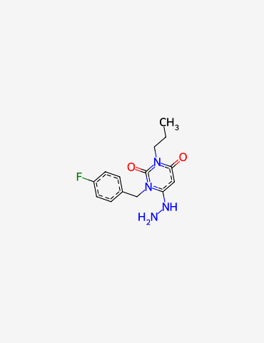 CCCn1c(=O)cc(NN)n(Cc2ccc(F)cc2)c1=O